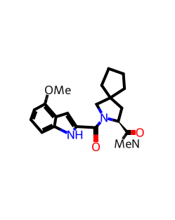 CNC(=O)[C@@H]1CC2(CCCC2)CN1C(=O)c1cc2c(OC)cccc2[nH]1